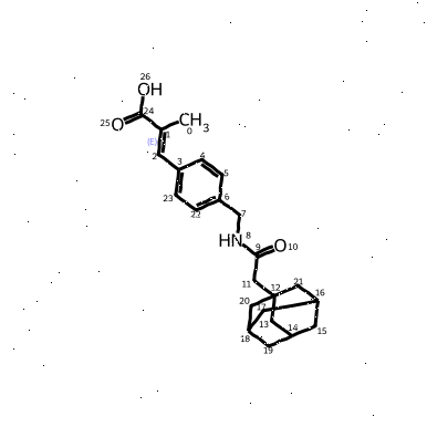 C/C(=C\c1ccc(CNC(=O)CC23CC4CC(CC(C4)C2)C3)cc1)C(=O)O